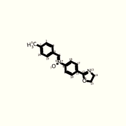 Cc1ccc(C=[N+]([O-])c2ccc(C3=NCCO3)cc2)cc1